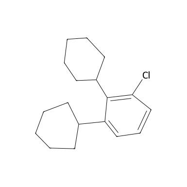 Clc1cccc(C2CCCCC2)c1C1CCCCC1